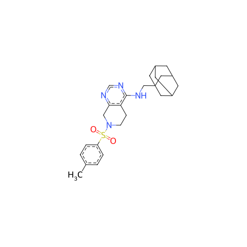 Cc1ccc(S(=O)(=O)N2CCc3c(ncnc3NCC34CC5CC(CC(C5)C3)C4)C2)cc1